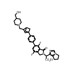 CCOC(=O)C(c1ncn2c1CCC2)N1Cc2c(F)cc(-c3ccc(C45CC(CN6CCC(CO)CC6)C(C4)C5)cc3)c(F)c2C1=O